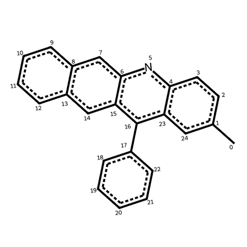 Cc1ccc2nc3cc4ccccc4cc3c(-c3ccccc3)c2c1